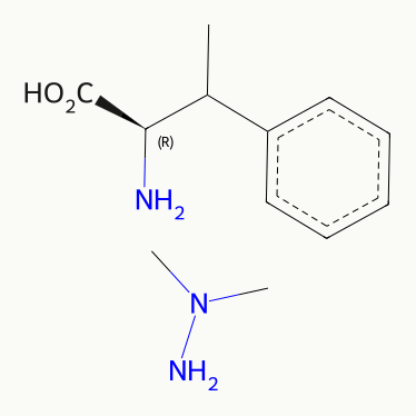 CC(c1ccccc1)[C@@H](N)C(=O)O.CN(C)N